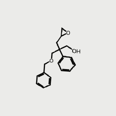 OCC(COCc1ccccc1)(CC1CO1)c1ccccc1